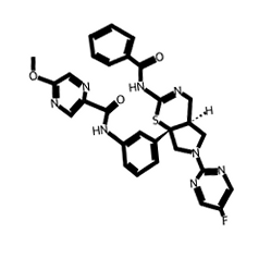 COc1cnc(C(=O)Nc2cccc([C@]34CN(c5ncc(F)cn5)C[C@@H]3CN=C(NC(=O)c3ccccc3)S4)c2)cn1